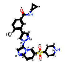 Cc1ccc(C(=O)NC2CC2)cc1-c1cnn(-c2cnc3ccc(S(=O)(=O)C4CCNCC4)cn23)c1